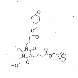 O=C(CCCn1c(=O)n(CCO)c(=O)n(CCCC(=O)OCC2CCC3CC2O3)c1=O)OCC1CCC2OC2C1